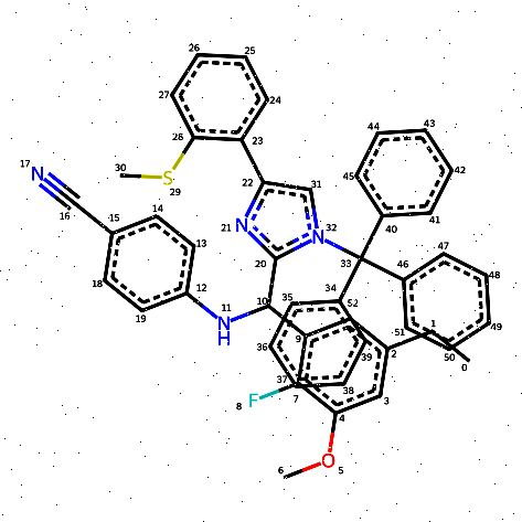 CCc1cc(OC)c(F)c(C(Nc2ccc(C#N)cc2)c2nc(-c3ccccc3SC)cn2C(c2ccccc2)(c2ccccc2)c2ccccc2)c1